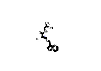 C/C(=C\SCc1cnn2cccnc12)C(=O)NCC(C)O